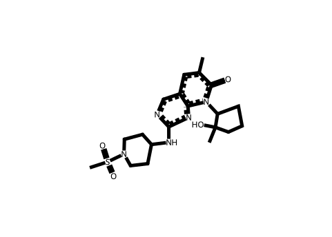 Cc1cc2cnc(NC3CCN(S(C)(=O)=O)CC3)nc2n(C2CCCC2(C)O)c1=O